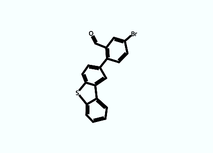 O=Cc1cc(Br)ccc1-c1ccc2sc3ccccc3c2c1